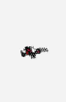 COc1ccc(CN(Cc2ccc(OC)cc2)c2cc(-c3nc4c5c(nc(OC[C@@]67CCCN6C[C@H](F)C7)nc5c3F)N3C[C@H]5CC[C@@H]([C@H]3[C@H](C)O4)N5C(=O)OC(C)(C)C)c(I)c(C(F)F)n2)cc1